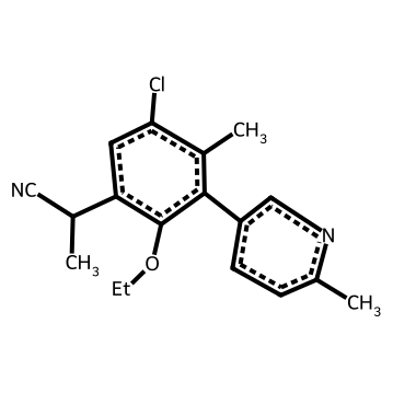 CCOc1c(C(C)C#N)cc(Cl)c(C)c1-c1ccc(C)nc1